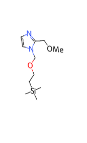 COCc1nccn1COCC[Si](C)(C)C